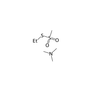 CCSS(C)(=O)=O.CN(C)C